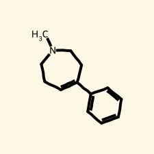 CN1CCC=C(c2ccccc2)CC1